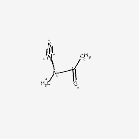 CC(=O)N(C)[N+]#N